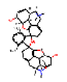 CN1CC[C@]23C4=C5O[C@H]2[C@@H](O)C=C[C@H]3[C@H]1CC4=CCC5(O)c1c(C(=O)O)ccc(C(=O)O)c1C1(O)CC=C2C[C@@H]3[C@@H]4C=C[C@H](O)[C@@H]5OC1=C2[C@]45CCN3C